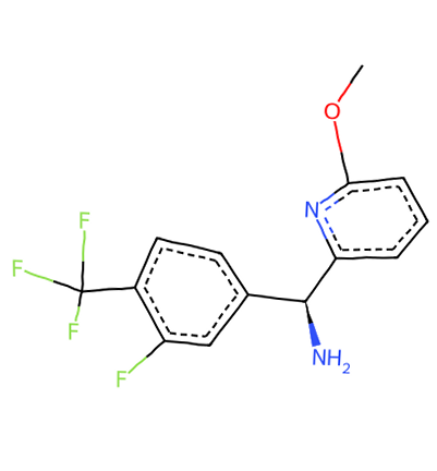 COc1cccc([C@@H](N)c2ccc(C(F)(F)F)c(F)c2)n1